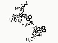 C=C(F)C(=O)N1CCN(c2nc(OCC3CC(c4ccc(N5CCc6c(nc(OCC7CCN7C(C)(C)C)nc6N6CCN(C(=O)/C=C/CF)[C@@H](CC#N)C6)C5)c5c(C)cccc45)N3CC)nc3c2CCN(c2cccc4cccc(C)c24)C3)C[C@@H]1CC#N